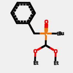 CCOC(OCC)P(=O)(Cc1ccccc1)C(C)(C)C